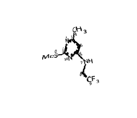 CSc1nc(C)cc(NCC(F)(F)F)n1